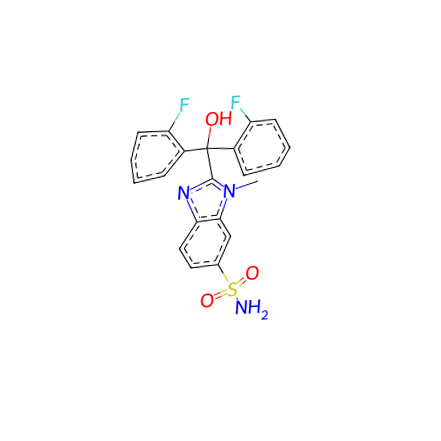 Cn1c(C(O)(c2ccccc2F)c2ccccc2F)nc2ccc(S(N)(=O)=O)cc21